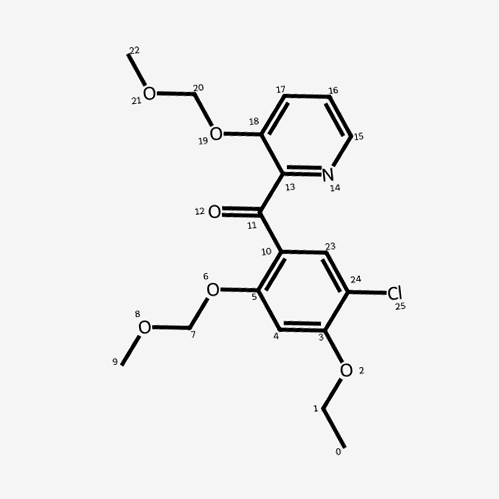 CCOc1cc(OCOC)c(C(=O)c2ncccc2OCOC)cc1Cl